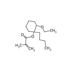 C=C(C)C(=O)OC1(CCCC)CCCCC1OCC